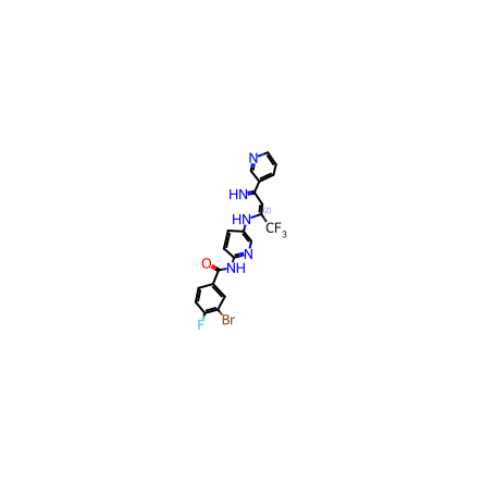 N=C(/C=C(\Nc1ccc(NC(=O)c2ccc(F)c(Br)c2)nc1)C(F)(F)F)c1cccnc1